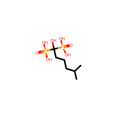 CC(C)CCCC(O)(P(=O)(O)O)P(=O)(O)O